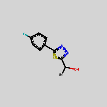 CCC(O)c1nnc(-c2ccc(F)cc2)s1